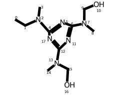 CCN(C)c1nc(N(C)CO)nc(N(C)CO)n1